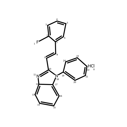 Cl.Fc1ccccc1/C=C/c1nc2ccccc2n1-c1ccccc1